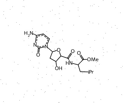 COC(=O)C(CC(C)C)NC(=O)C1OC(n2ccc(N)nc2=O)CC1O